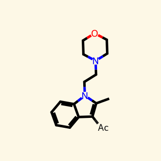 CC(=O)c1c(C)n(CCN2CCOCC2)c2ccccc12